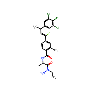 C[C@@H](NC(=O)c1ccc(/C(F)=C/C(c2cc(Cl)c(Cl)c(Cl)c2)C(F)(F)F)cc1C(F)(F)F)C(=O)N(N)CC(F)(F)F